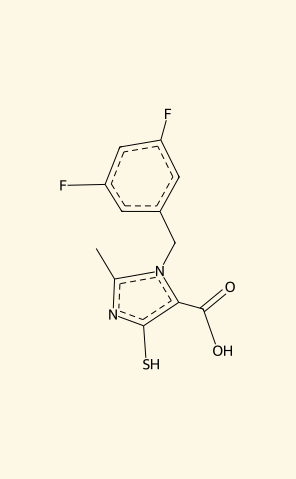 Cc1nc(S)c(C(=O)O)n1Cc1cc(F)cc(F)c1